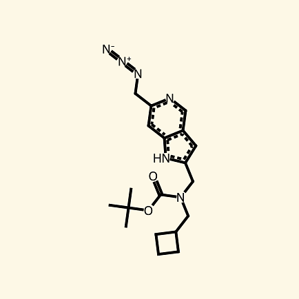 CC(C)(C)OC(=O)N(Cc1cc2cnc(CN=[N+]=[N-])cc2[nH]1)CC1CCC1